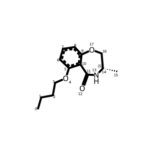 CCCCOc1cccc2c1C(=O)N[C@@H](C)CO2